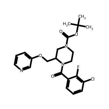 CC(C)(C)OC(=O)N1CCN(C(=O)c2cccc(Cl)c2F)C(COc2cccnc2)C1